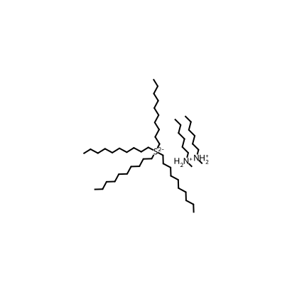 CCCCCCCCCC[S-2](CCCCCCCCCC)(CCCCCCCCCC)CCCCCCCCCC.CCCCCC[NH2+]C.CCCCCC[NH2+]C